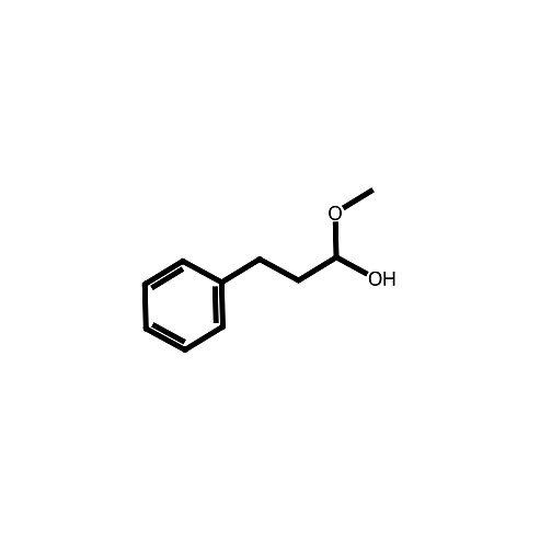 COC(O)CCc1ccccc1